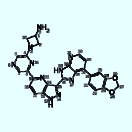 NC1CN(c2cncc(-c3ccc4[nH]nc(-c5nc6c(-c7ccc8c(c7)OCO8)ccnc6[nH]5)c4n3)n2)C1